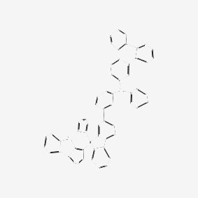 c1ccc(-c2ccccc2-c2cccc(N(c3ccccc3)c3cccc(-c4ccc5c(c4)C4(c6ccccc6-5)c5ccccc5-n5c6ccccc6c6cccc4c65)c3)c2)cc1